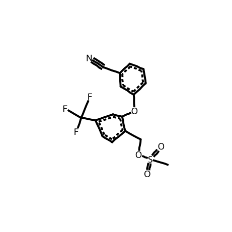 CS(=O)(=O)OCc1ccc(C(F)(F)F)cc1Oc1cccc(C#N)c1